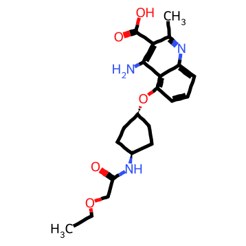 CCOCC(=O)N[C@H]1CC[C@H](Oc2cccc3nc(C)c(C(=O)O)c(N)c23)CC1